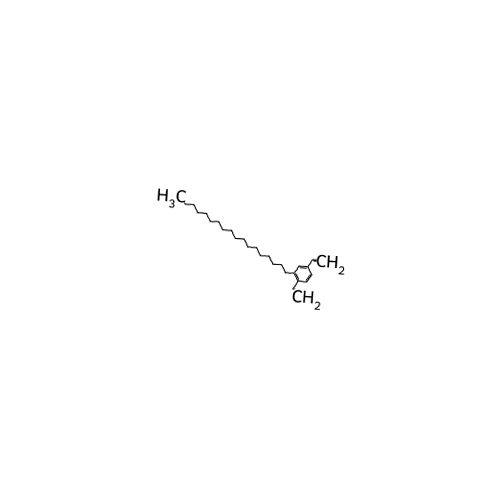 C=Cc1ccc(C=C)c(CCCCCCCCCCCCCCCCCC)c1